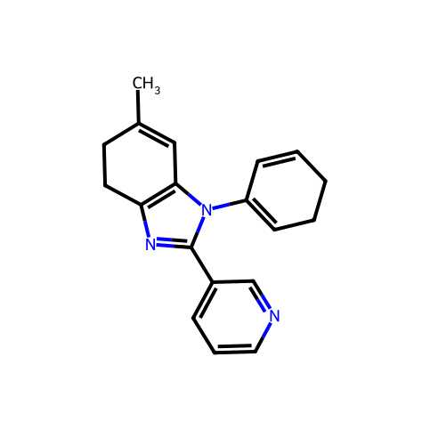 CC1=Cc2c(nc(-c3cccnc3)n2C2=CCCC=C2)CC1